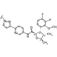 COc1c([C@@H]2[C@H](C)[C@@H](C)O[C@H]2C(=O)Nc2ccc(-c3ccn(C)n3)nc2)ccc(F)c1F